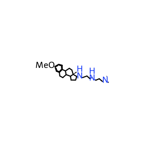 COc1ccc2c(c1)CCC1C2CC[C@]2(C)C(NCCCNCCCN(C)C)CCC12